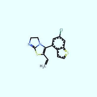 C=CC1=C(c2cc(Cl)cc3sccc23)N2CCN=C2S1